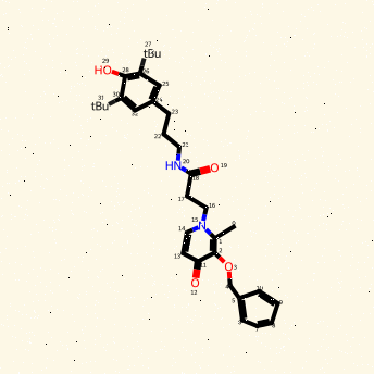 Cc1c(OCc2ccccc2)c(=O)ccn1CCC(=O)NCCCc1cc(C(C)(C)C)c(O)c(C(C)(C)C)c1